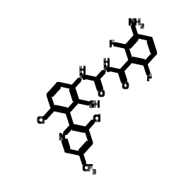 Nc1ccc(F)c(C(=O)NC(=O)Nc2ccc(Cl)c(-c3ncc(C(F)(F)F)cc3Cl)c2S)c1F